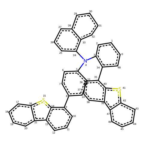 c1ccc(N(c2ccc(-c3cccc4c3sc3ccccc34)cc2)c2cccc3ccccc23)c(-c2cccc3c2sc2ccccc23)c1